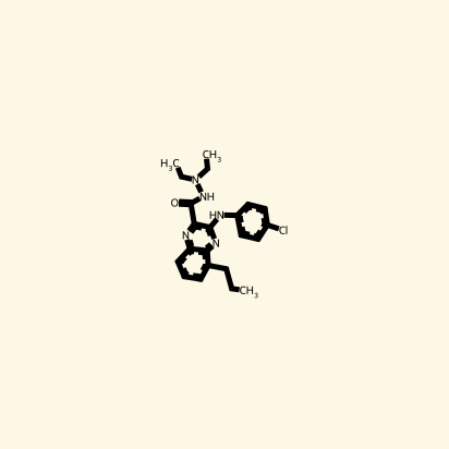 CCCc1cccc2nc(C(=O)NN(CC)CC)c(Nc3ccc(Cl)cc3)nc12